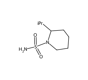 CC(C)C1CCCCN1S(N)(=O)=O